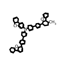 CC1CC=CCC1c1ccc(N(C2=CCC(c3ccc(C4C=CC=C5C6=C(CCC=C6)OC54)cc3)C=C2)C2C=CC(C3C=CC(C4CCC(C)C5c6ccccc6OC45)=CC3)=CC2)cc1